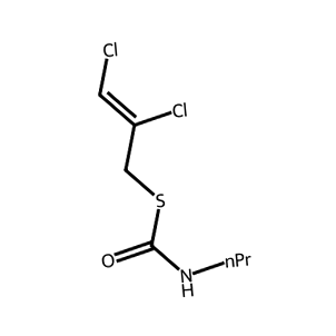 CCCNC(=O)SCC(Cl)=CCl